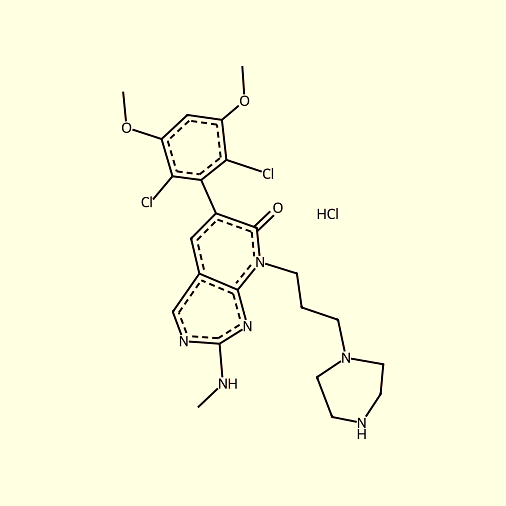 CNc1ncc2cc(-c3c(Cl)c(OC)cc(OC)c3Cl)c(=O)n(CCCN3CCNCC3)c2n1.Cl